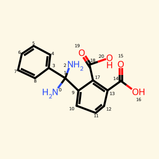 NC(N)(c1ccccc1)c1cccc(C(=O)O)c1C(=O)O